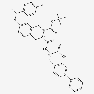 CC(Oc1ccc2c(c1)CN(C(=O)OC(C)(C)C)[C@H](C(=O)N[C@@H](Cc1ccc(-c3ccccc3)cc1)C(=O)O)C2)c1ccc(F)cc1